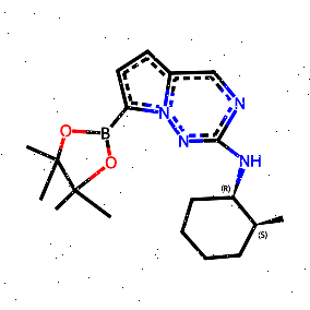 C[C@H]1CCCC[C@H]1Nc1ncc2ccc(B3OC(C)(C)C(C)(C)O3)n2n1